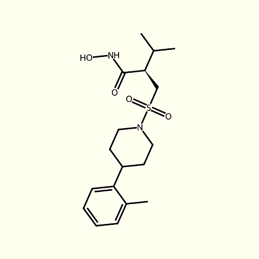 Cc1ccccc1C1CCN(S(=O)(=O)C[C@@H](C(=O)NO)C(C)C)CC1